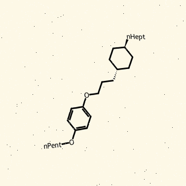 CCCCCCC[C@H]1CC[C@H](CCCOc2ccc(OCCCCC)cc2)CC1